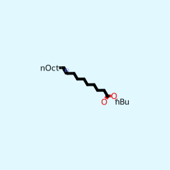 CCCCCCCC/C=C/CCCCCCCC(=O)OCCCC